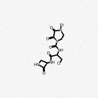 CCN1CCN(C(=O)NC(CCl)C(=O)NC2CNC2=O)C(=O)C1=O